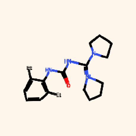 CCc1cccc(CC)c1NC(=O)NC(N1CCCC1)=[N+]1CCCC1